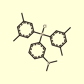 Cc1cc(C)cc([Si](Cl)(c2cc(C)cc(C)c2)c2cccc(N(C)C)c2)c1